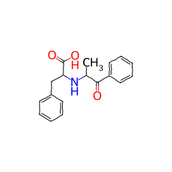 CC(NC(Cc1ccccc1)C(=O)O)C(=O)c1ccccc1